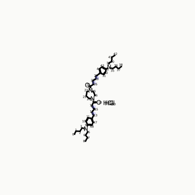 CCCCN(CCCC)c1ccc(/C=C/C=C/C(=O)N2CCCN(C(=O)/C=C/C=C/c3ccc(N(CCCC)CCCC)cc3)CC2)cc1.Cl.Cl